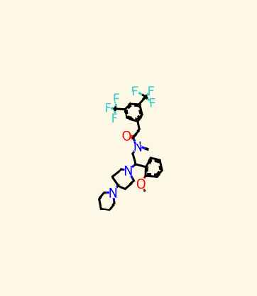 COc1ccccc1C(CN(C)C(=O)Cc1cc(C(F)(F)F)cc(C(F)(F)F)c1)N1CCC(N2CCCCC2)CC1